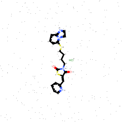 Cl.O=C1SC(=Cc2ccccn2)C(=O)N1CCCCSc1cccc2nccn12